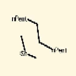 CCCCCCCCCCCC.[CH3][Sn][CH3]